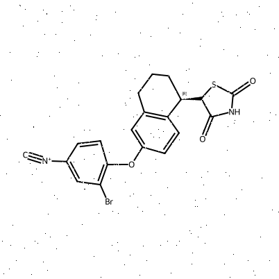 [C-]#[N+]c1ccc(Oc2ccc3c(c2)CCC[C@H]3C2SC(=O)NC2=O)c(Br)c1